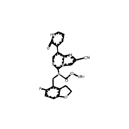 CC(C)(C)OC(=O)N(Cc1c(F)ccc2c1CCO2)c1ncc(-c2ccc[nH]c2=O)c2nc(C#N)cn12